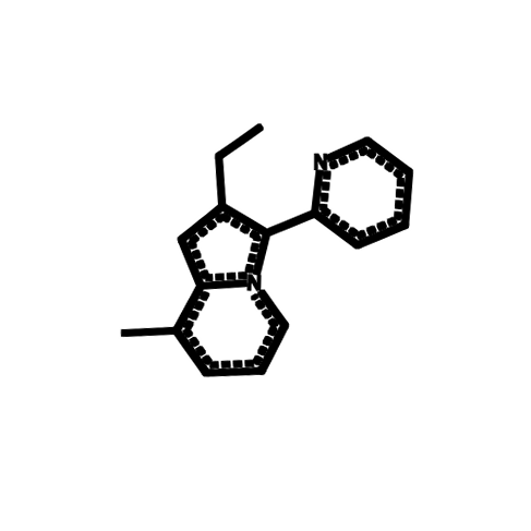 CCc1cc2c(C)cccn2c1-c1ccccn1